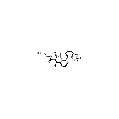 CCCNC(=O)c1c(N)c2cccc(-c3cccc4c3OC(F)(F)O4)c2[nH]c1=O